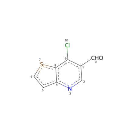 O=Cc1cnc2ccsc2c1Cl